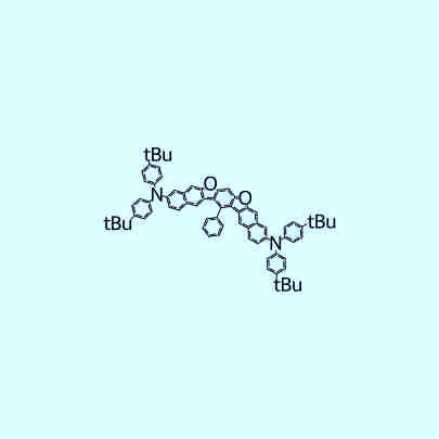 CC(C)(C)c1ccc(N(c2ccc(C(C)(C)C)cc2)c2ccc3cc4c(cc3c2)oc2cc3oc5cc6cc(N(c7ccc(C(C)(C)C)cc7)c7ccc(C(C)(C)C)cc7)ccc6cc5c3c(-c3ccccc3)c24)cc1